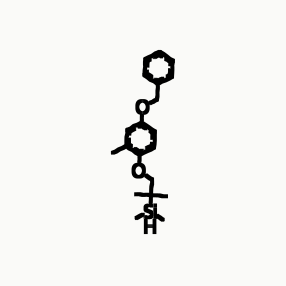 Cc1cc(OCc2ccccc2)ccc1OCC(C)(C)[SiH](C)C